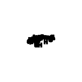 CCC(=C(c1ccc(O)cc1)c1ccc(OCCNCC=CC(=O)N(C)C)cc1)c1ccc(C(F)(F)F)cc1